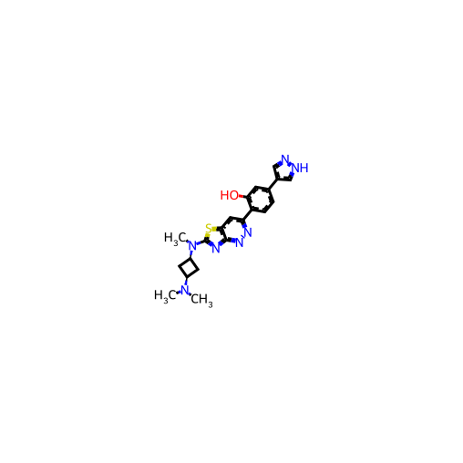 CN(C)[C@H]1C[C@@H](N(C)c2nc3nnc(-c4ccc(-c5cn[nH]c5)cc4O)cc3s2)C1